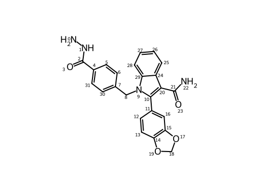 NNC(=O)c1ccc(Cn2c(-c3ccc4c(c3)OCO4)c(C(N)=O)c3ccccc32)cc1